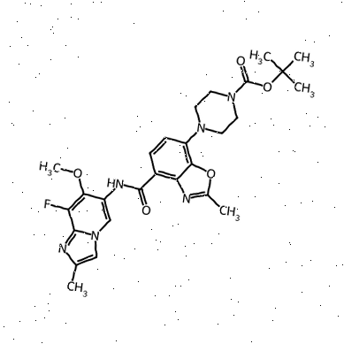 COc1c(NC(=O)c2ccc(N3CCN(C(=O)OC(C)(C)C)CC3)c3oc(C)nc23)cn2cc(C)nc2c1F